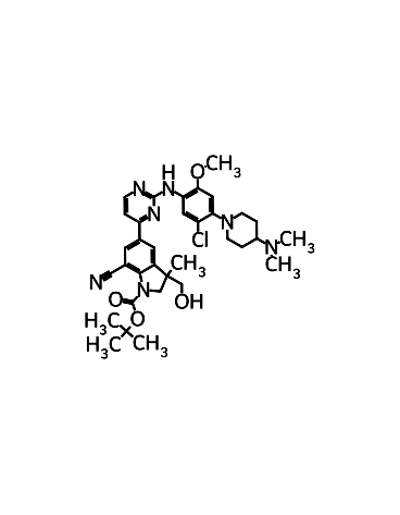 COc1cc(N2CCC(N(C)C)CC2)c(Cl)cc1Nc1nccc(-c2cc(C#N)c3c(c2)C(C)(CO)CN3C(=O)OC(C)(C)C)n1